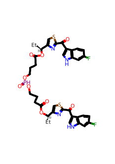 CC[C@H](OC(=O)CCCO[PH](=O)OCCCC(=O)O[C@@H](CC)c1csc(C(=O)c2c[nH]c3cc(F)ccc23)n1)c1csc(C(=O)c2c[nH]c3cc(F)ccc23)n1